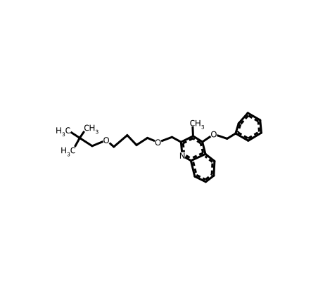 Cc1c(COCCCCOCC(C)(C)C)nc2ccccc2c1OCc1ccccc1